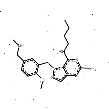 CCCCNc1nc(N)nc2cnn(Cc3cc(CNC)ccc3OC)c12